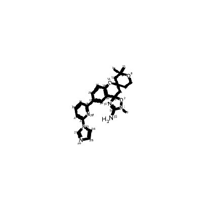 CN1OC2(CC3(CCOC(C)(C)C3)Oc3ccc(-c4cccc(-n5ccnc5)n4)cc32)N=C1N